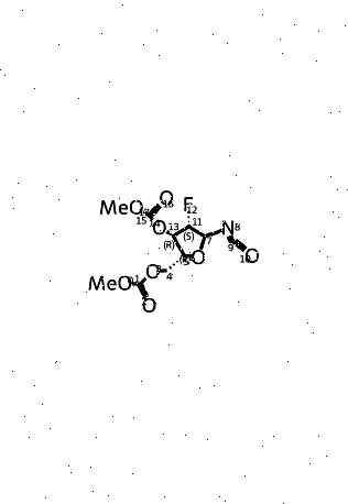 COC(=O)OC[C@H]1OC(N=C=O)[C@@H](F)[C@@H]1OC(=O)OC